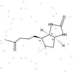 CC(=O)CCC[C@@H]1SC[C@@H]2NC(=O)N[C@@H]21